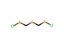 ClSCSCSCl